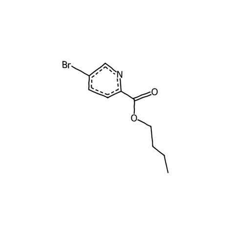 CCCCOC(=O)c1ccc(Br)cn1